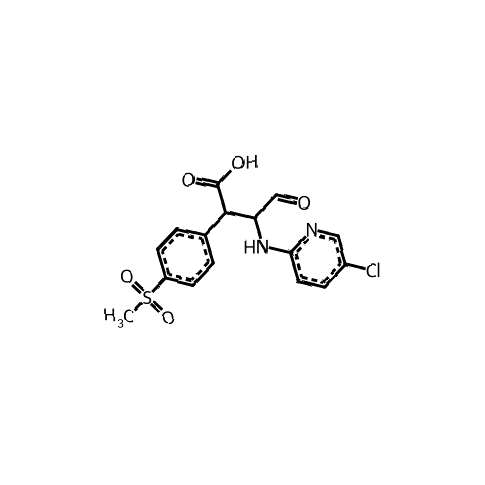 CS(=O)(=O)c1ccc(C(C(=O)O)C(C=O)Nc2ccc(Cl)cn2)cc1